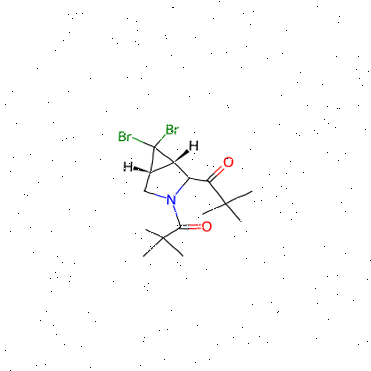 CC(C)(C)C(=O)C1[C@@H]2[C@H](CN1C(=O)C(C)(C)C)C2(Br)Br